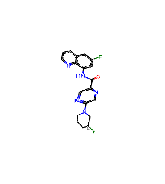 O=C(Nc1cc(F)cc2cccnc12)c1cnc(N2CCC[C@H](F)C2)cn1